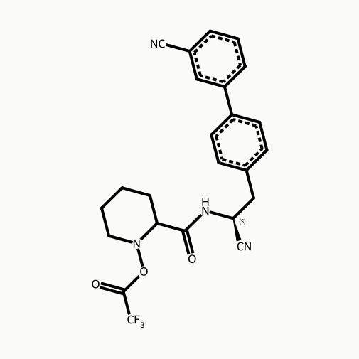 N#Cc1cccc(-c2ccc(C[C@@H](C#N)NC(=O)C3CCCCN3OC(=O)C(F)(F)F)cc2)c1